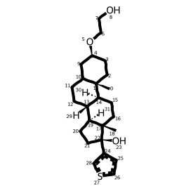 C[C@]12CC[C@H](OCCO)CC1CC[C@@H]1[C@@H]2CC[C@@]2(C)[C@H]1CC[C@@]2(O)c1ccsc1